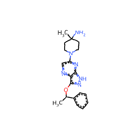 CC(Oc1n[nH]c2nc(N3CCC(C)(N)CC3)cnc12)c1ccccc1